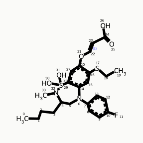 CCCCC1CN(c2ccc(F)cc2)c2cc(SCC)c(O/C=C/C(=O)O)cc2S(O)(O)N1C